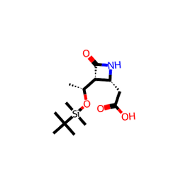 C[C@@H](O[Si](C)(C)C(C)(C)C)[C@@H]1C(=O)N[C@@H]1CC(=O)O